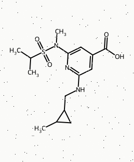 CC1CC1CNc1cc(C(=O)O)cc(N(C)S(=O)(=O)C(C)C)n1